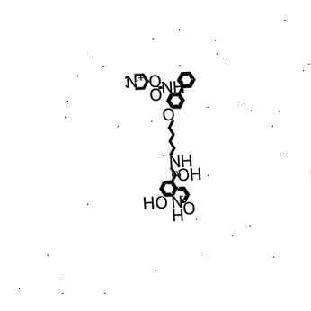 C[N+]1(C)CCC(OC(=O)Nc2cc(OCCCCCCNC[C@H](O)c3ccc(O)c4[nH]c(=O)ccc34)ccc2-c2ccccc2)CC1